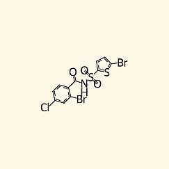 O=C(NS(=O)(=O)c1ccc(Br)s1)c1ccc(Cl)cc1Br